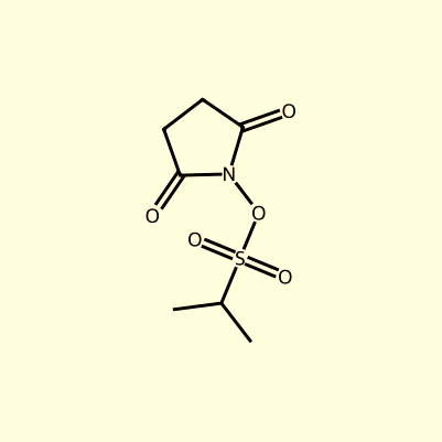 CC(C)S(=O)(=O)ON1C(=O)CCC1=O